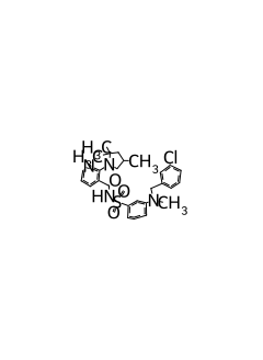 CC1CN(c2ncccc2C(=O)NS(=O)(=O)c2cccc(N(C)Cc3cccc(Cl)c3)c2)C(C)(C)C1